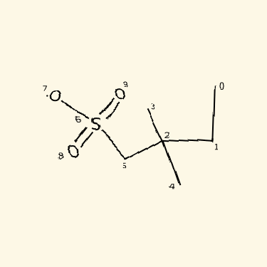 CCC(C)(C)CS([O])(=O)=O